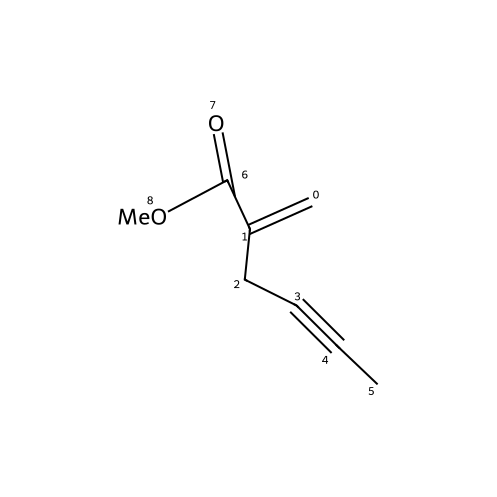 C=C(CC#CC)C(=O)OC